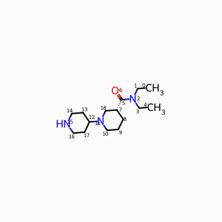 CCN(CC)C(=O)[C@@H]1CCCN(C2CCNCC2)C1